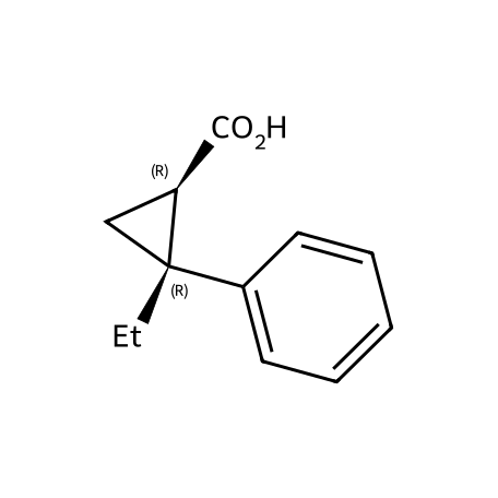 CC[C@@]1(c2ccccc2)C[C@H]1C(=O)O